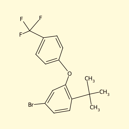 CC(C)(C)c1ccc(Br)cc1Oc1ccc(C(F)(F)F)cc1